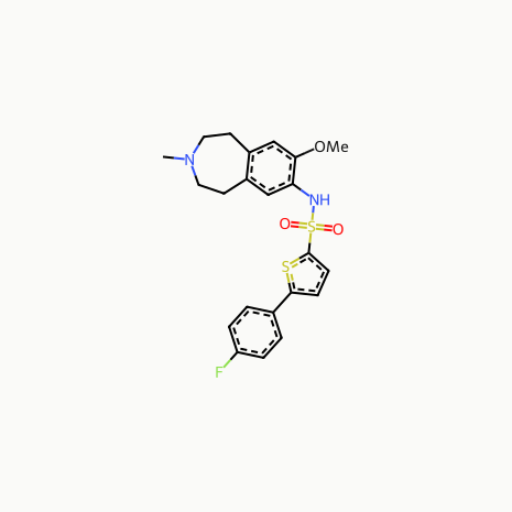 COc1cc2c(cc1NS(=O)(=O)c1ccc(-c3ccc(F)cc3)s1)CCN(C)CC2